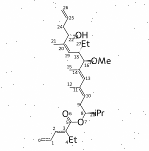 C=C/C=C(\CC)C(=O)O[C@@H](C/C=C(C)/C=C(\C)[C@H](OC)[C@H](/C=C(/C)[C@@H](O)CC=C)CC)C(C)C